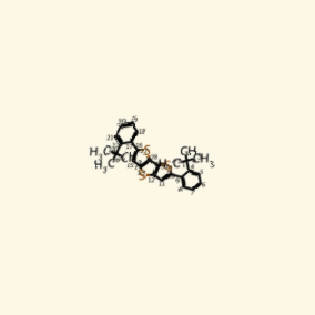 CC(C)(C)c1ccccc1-c1cc2sc3cc(-c4ccccc4C(C)(C)C)sc3c2s1